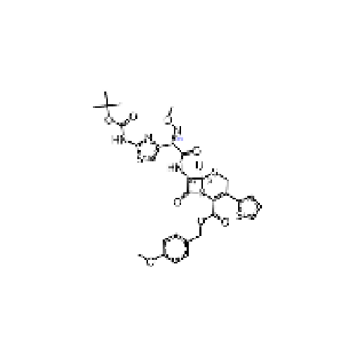 CO/N=C(/C(=O)N[C@@H]1C(=O)N2C(C(=O)OCc3ccc(OC)cc3)=C(c3cccs3)CS[C@H]12)c1csc(NC(=O)OC(C)(C)C)n1